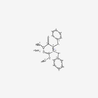 CCCCOC(=O)/C(Cc1ccccc1)=C(/Cc1ccccc1)C(=O)OCCCC.[SnH2]